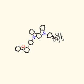 C[Si](C)(C)c1ccc(-n2c3ccccc3c3c4c5ccccc5n(-c5ccc(-c6cccc7c6oc6ccccc67)cc5)c4ccc32)cc1